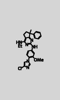 CCNc1nc(Nc2ccc(-n3cnc(Cl)c3)c(OC)c2)nc2c1CCC2(C)c1ccccc1